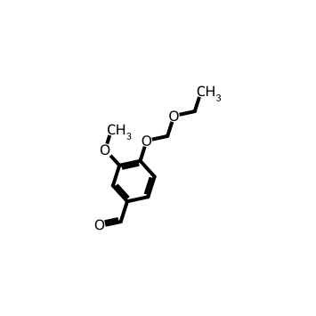 CCOCOc1ccc(C=O)cc1OC